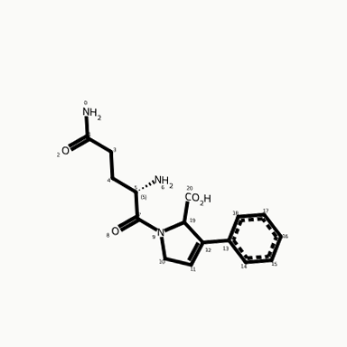 NC(=O)CC[C@H](N)C(=O)N1CC=C(c2ccccc2)C1C(=O)O